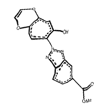 COC(=O)c1ccc2nn(-c3cc4c(cc3O)OC=CO4)nc2c1